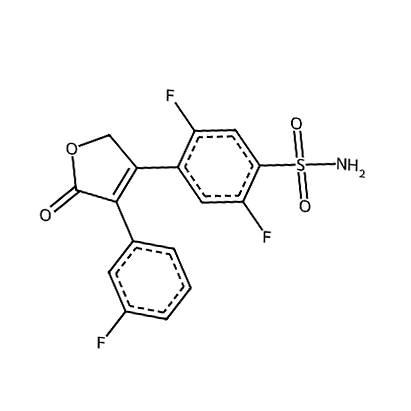 NS(=O)(=O)c1cc(F)c(C2=C(c3cccc(F)c3)C(=O)OC2)cc1F